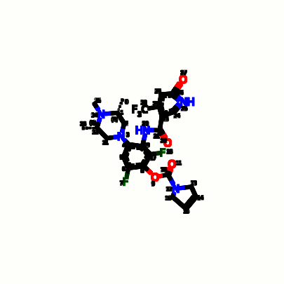 C[C@@H]1CN(c2cc(F)c(OC(=O)N3CC=CC3)c(F)c2NC(=O)c2c[nH]c(=O)cc2C(F)(F)F)C[C@H](C)N1C